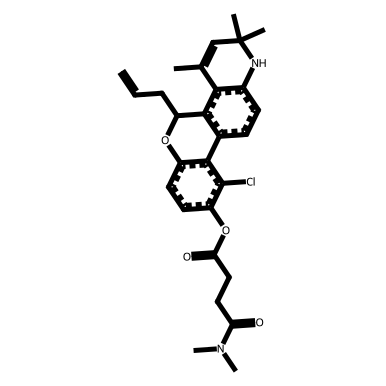 C=CCC1Oc2ccc(OC(=O)CCC(=O)N(C)C)c(Cl)c2-c2ccc3c(c21)C(C)=CC(C)(C)N3